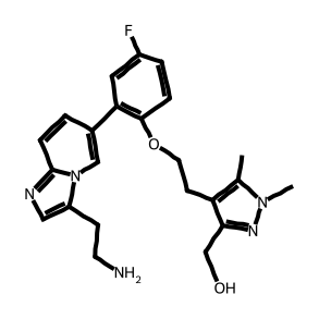 Cc1c(CCOc2ccc(F)cc2-c2ccc3ncc(CCN)n3c2)c(CO)nn1C